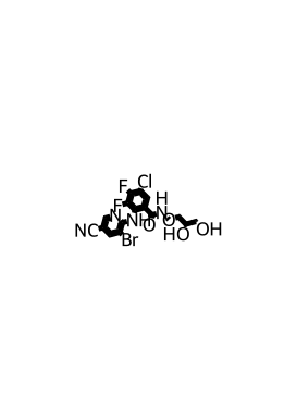 N#Cc1cnc(Nc2c(C(=O)NOC[C@H](O)CO)cc(Cl)c(F)c2F)c(Br)c1